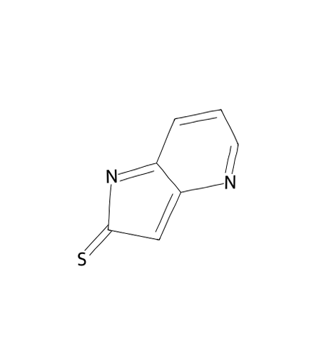 S=C1C=c2ncccc2=N1